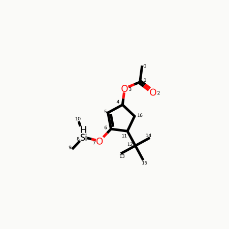 CC(=O)OC1C=C(O[SiH](C)C)C(C(C)(C)C)C1